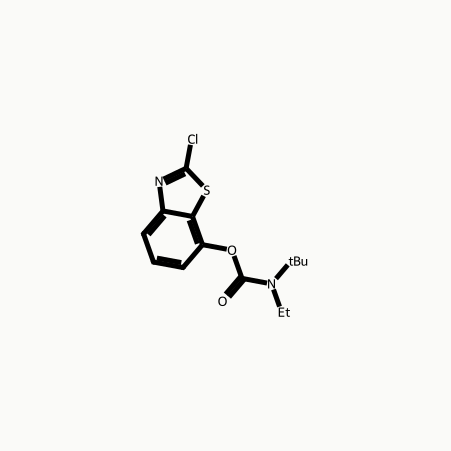 CCN(C(=O)Oc1cccc2nc(Cl)sc12)C(C)(C)C